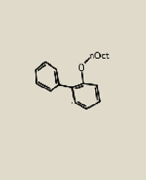 CCCCCCCCOc1ccc[c]c1-c1ccccc1